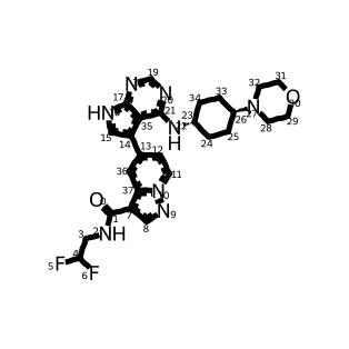 O=C(NCC(F)F)c1cnn2ccc(-c3c[nH]c4ncnc(N[C@H]5CC[C@H](N6CCOCC6)CC5)c34)cc12